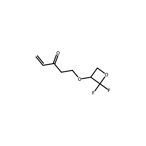 C=CC(=O)CCOC1COC1(F)F